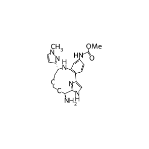 COC(=O)Nc1ccc2c(c1)N[C@@H](c1ccn(C)n1)CCCC[C@H](N)c1nc-2c[nH]1